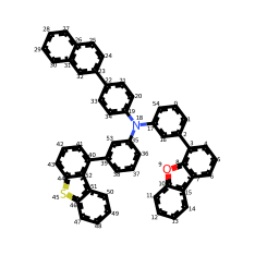 c1cc(-c2cccc3c2oc2ccccc23)cc(N(c2ccc(-c3ccc4ccccc4c3)cc2)c2cccc(-c3cccc4sc5ccccc5c34)c2)c1